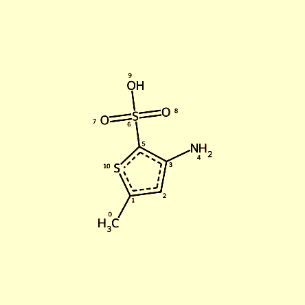 Cc1cc(N)c(S(=O)(=O)O)s1